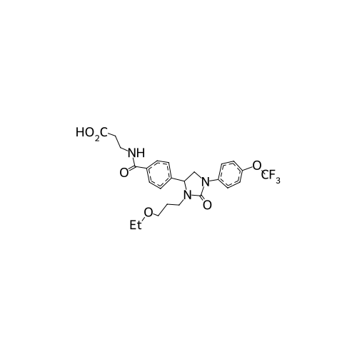 CCOCCCN1C(=O)N(c2ccc(OC(F)(F)F)cc2)CC1c1ccc(C(=O)NCCC(=O)O)cc1